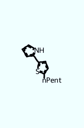 CCCCCc1ccc(-c2ccc[nH]2)s1